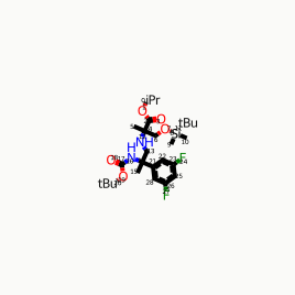 CC(C)OC(=O)C(C)(CO[Si](C)(C)C(C)(C)C)NCC(C)(NC(=O)OC(C)(C)C)c1cc(F)cc(F)c1